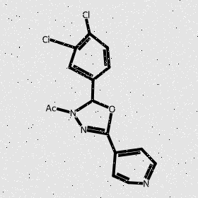 CC(=O)N1N=C(c2ccncc2)OC1c1ccc(Cl)c(Cl)c1